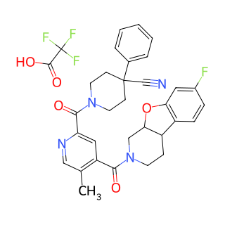 Cc1cnc(C(=O)N2CCC(C#N)(c3ccccc3)CC2)cc1C(=O)N1CCC2c3ccc(F)cc3OC2C1.O=C(O)C(F)(F)F